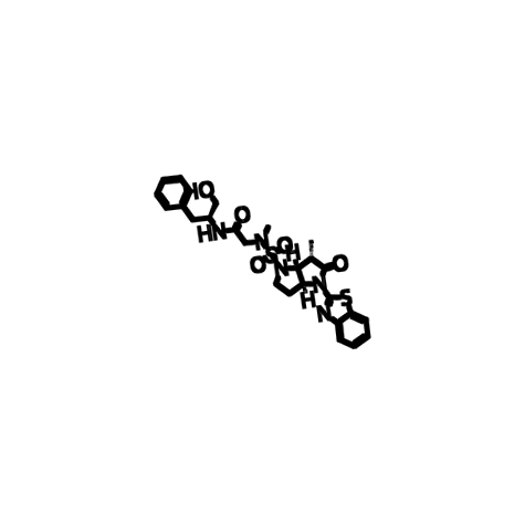 C[C@@H]1C(=O)N(c2nc3ccccc3s2)[C@H]2CCN(S(=O)(=O)N(C)CC(=O)N[C@H](CO)Cc3ccccc3)[C@H]12